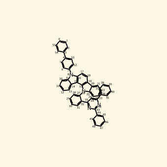 c1ccc(-c2ccc(-n3c4ccccc4c4c3ccc3c5ccccc5n(-c5ccccc5-c5cc(-c6ccccc6)nc(-c6ccccc6)n5)c34)cc2)cc1